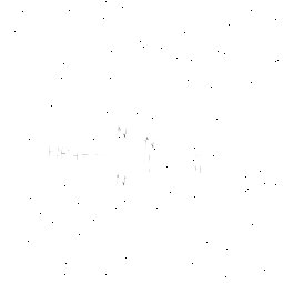 [RaH][c]1nc2ccccn2n1